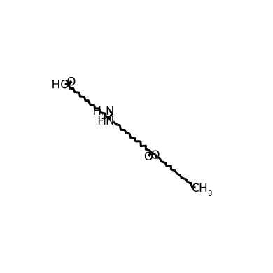 CCCCCCCCCCCCCCCCOC(=O)CCCCCCCCCCCCCCCNC(CN)CCCCCCCCCCCCCCCC(=O)O